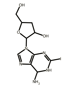 NC1NC(I)=Nc2c1ncn2C1OC(CO)CC1O